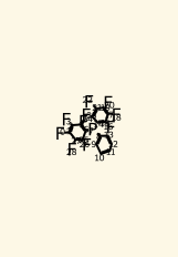 Fc1c(F)c(F)c(P(c2ccccc2)c2c(F)c(F)c(F)c(F)c2F)c(F)c1F